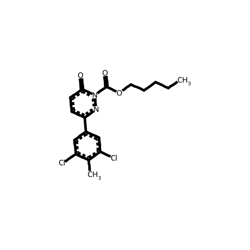 CCCCCOC(=O)n1nc(-c2cc(Cl)c(C)c(Cl)c2)ccc1=O